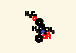 CCOc1ccc(CC(C)(C)N(Cc2ccccc2)C(=O)O)cc1